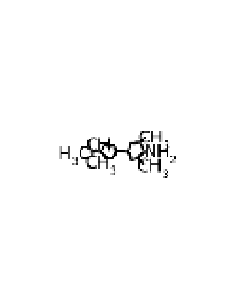 Cc1cc(-c2ccc(C(C)(C)C)cc2)cc(C)c1N